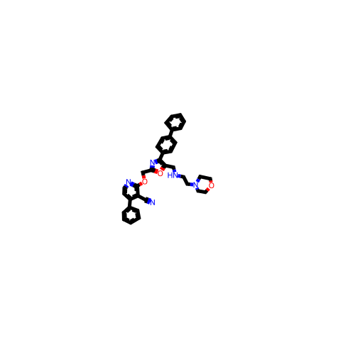 N#Cc1c(-c2ccccc2)ccnc1OCc1nc(-c2ccc(-c3ccccc3)cc2)c(CNCCN2CCOCC2)o1